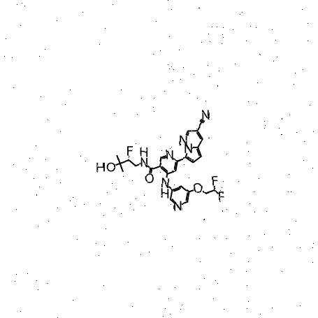 CC(C)(O)[C@H](F)CNC(=O)c1cnc(-c2ccc3cc(C#N)cnn23)cc1Nc1cncc(OCC(F)F)c1